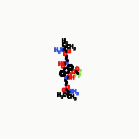 CC(C)[C@H](N)C(=O)OCCCN(O)c1cccc2c1C(=O)c1c(OC(=O)C(F)(F)F)ccc(N(O)CCCOC(=O)[C@@H](N)C(C)C)c1C2=O